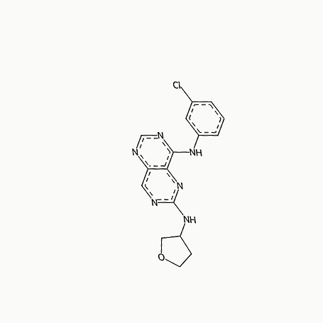 Clc1cccc(Nc2ncnc3cnc(NC4CCOC4)nc23)c1